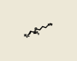 C=C[SiH2]OCCCCCC